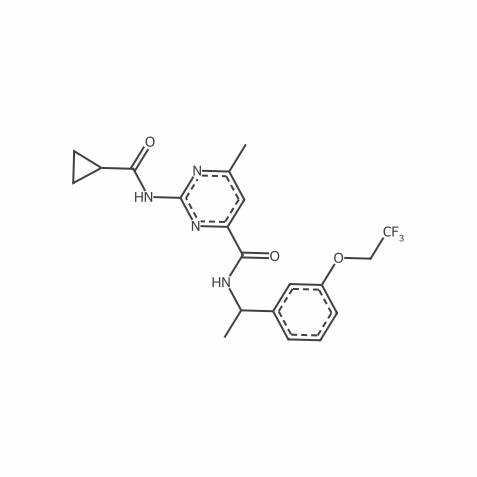 Cc1cc(C(=O)NC(C)c2cccc(OCC(F)(F)F)c2)nc(NC(=O)C2CC2)n1